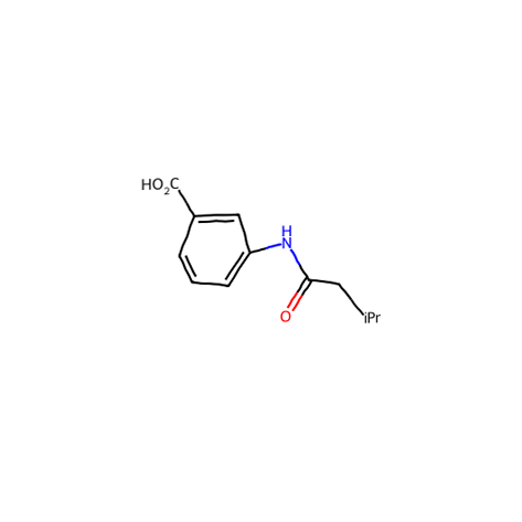 CC(C)CC(=O)Nc1cccc(C(=O)O)c1